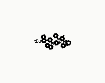 Cc1cc2c3c(c1)N1c4c(cccc4C4(C)CCCCC14C)B3c1ccc(N(c3cccc(-c4ccc(C(C)(C)C)c5ccccc45)c3)c3cccc4ccccc34)cc1N2c1ccccc1